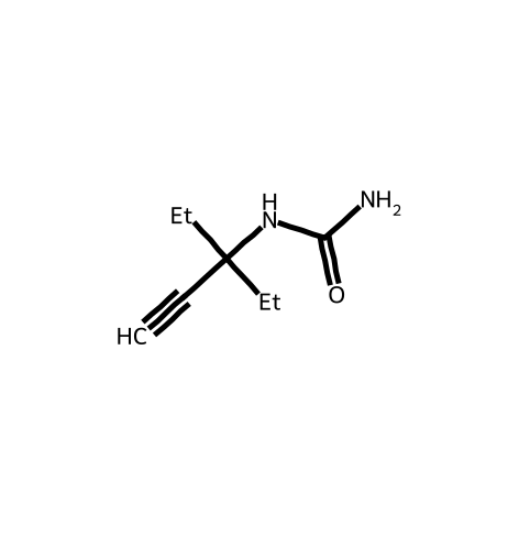 C#CC(CC)(CC)NC(N)=O